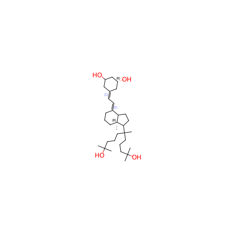 CC(C)(O)CCCC(C)(CCCC(C)(C)O)C1CCC2/C(=C/C=C3/CC(O)C[C@H](O)C3)CCC[C@@]21C